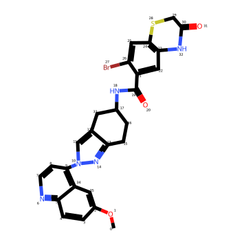 COc1ccc2nccc(-n3cc4c(n3)CCC(NC(=O)c3cc5c(cc3Br)SCC(=O)N5)C4)c2c1